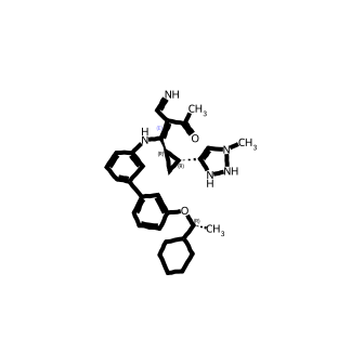 CC(=O)/C(C=N)=C(/Nc1cccc(-c2cccc(O[C@H](C)C3CCCCC3)c2)c1)[C@@H]1C[C@H]1C1=CN(C)NN1